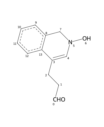 O=CCCC1=CN(O)Cc2ccccc21